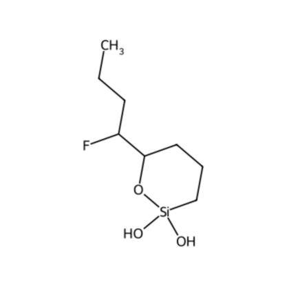 CCCC(F)C1CCC[Si](O)(O)O1